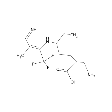 CCC(CCC(CC)C(=O)O)N/C(=C(/C)C=N)C(F)(F)F